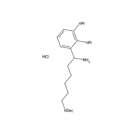 CCCCCCCCCCCCCCCC(N)c1cccc(CCC)c1CCC.Cl